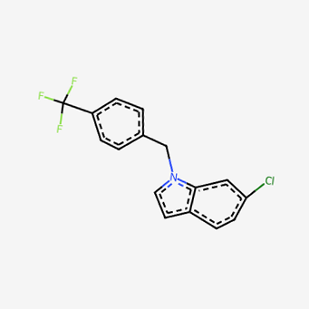 FC(F)(F)c1ccc(Cn2ccc3ccc(Cl)cc32)cc1